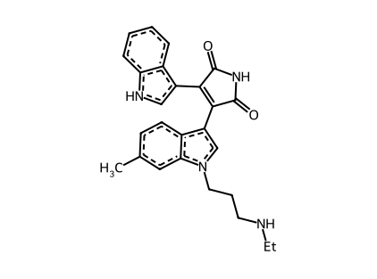 CCNCCCn1cc(C2=C(c3c[nH]c4ccccc34)C(=O)NC2=O)c2ccc(C)cc21